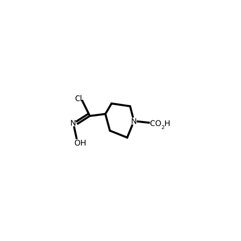 O=C(O)N1CCC(/C(Cl)=N\O)CC1